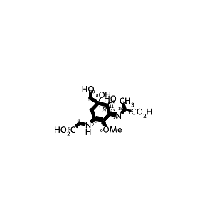 COC1=C(NCC(=O)O)C[C@@](O)(CO)[C@@H](O)C1=N[C@@H](C)C(=O)O